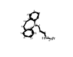 CCCNCCCN1c2ccccc2CCc2ccccc21